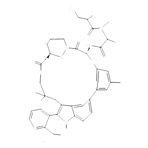 CCn1c(-c2cccnc2[C@H](C)OC)c2c3cc(ccc31)-c1cc(O)cc(c1)C[C@H](NC(=O)C(C(C)C)N(C)C(=O)C(O)CO)C(=O)N1CCC[C@H](N1)C(=O)OCC(C)(C)C2